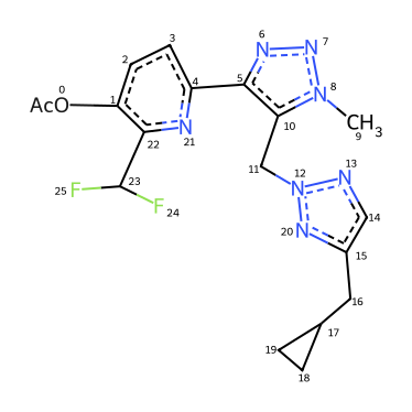 CC(=O)Oc1ccc(-c2nnn(C)c2Cn2ncc(CC3CC3)n2)nc1C(F)F